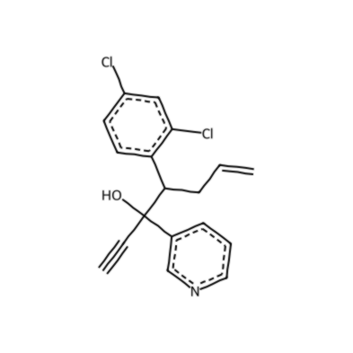 C#CC(O)(c1cccnc1)C(CC=C)c1ccc(Cl)cc1Cl